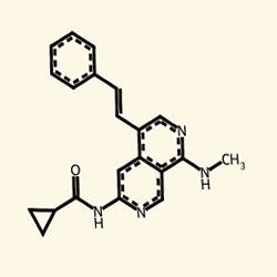 CNc1ncc(/C=C/c2ccccc2)c2cc(NC(=O)C3CC3)ncc12